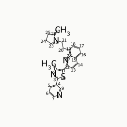 Cc1nc(-c2cccnc2)sc1-c1ccc2cccc(CCN3CCC[C@H]3C)c2n1